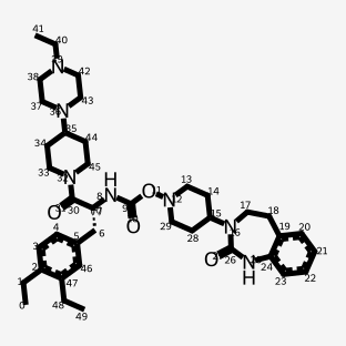 CCc1ccc(C[C@@H](NC(=O)ON2CCC(N3CCc4ccccc4NC3=O)CC2)C(=O)N2CCC(N3CCN(CC)CC3)CC2)cc1CC